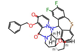 O=C1c2c(OCc3ccccc3)c(=O)ccn2N(C2c3cc(F)c(F)cc3CSc3ccccc32)[C@@H]2[C@H]3C[C@@H]4CC[C@@]3(CCN12)O4